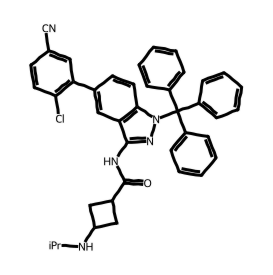 CC(C)NC1CC(C(=O)Nc2nn(C(c3ccccc3)(c3ccccc3)c3ccccc3)c3ccc(-c4cc(C#N)ccc4Cl)cc23)C1